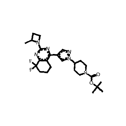 CC1CCN1c1nc(-c2cnn(C3CCN(C(=O)OC(C)(C)C)CC3)c2)c2c(n1)C(F)(F)CCC2